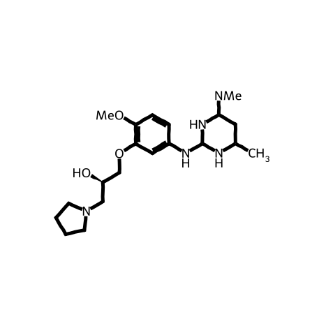 CNC1CC(C)NC(Nc2ccc(OC)c(OC[C@H](O)CN3CCCC3)c2)N1